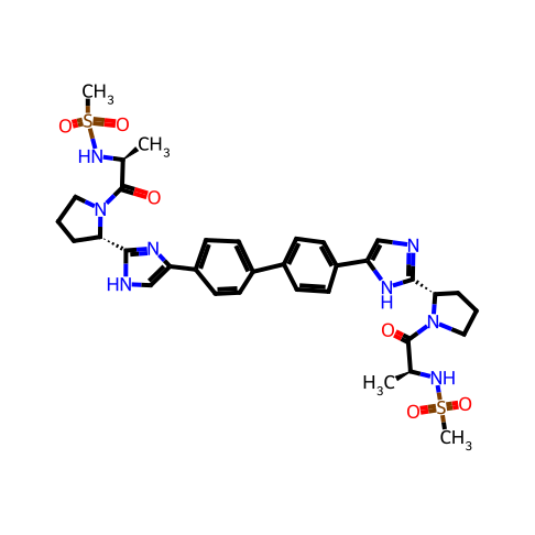 C[C@H](NS(C)(=O)=O)C(=O)N1CCC[C@H]1c1nc(-c2ccc(-c3ccc(-c4cnc([C@@H]5CCCN5C(=O)[C@H](C)NS(C)(=O)=O)[nH]4)cc3)cc2)c[nH]1